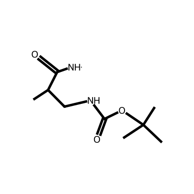 CC(CNC(=O)OC(C)(C)C)C([NH])=O